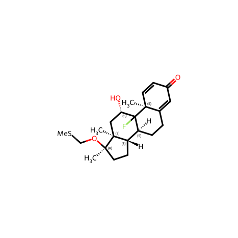 CSCO[C@]1(C)CC[C@H]2[C@@H]3CCC4=CC(=O)C=C[C@]4(C)C3(F)[C@@H](O)C[C@@]21C